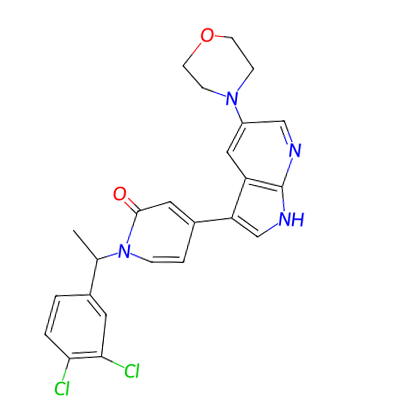 CC(c1ccc(Cl)c(Cl)c1)n1ccc(-c2c[nH]c3ncc(N4CCOCC4)cc23)cc1=O